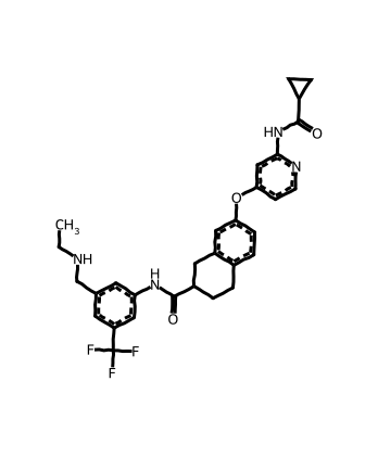 CCNCc1cc(NC(=O)C2CCc3ccc(Oc4ccnc(NC(=O)C5CC5)c4)cc3C2)cc(C(F)(F)F)c1